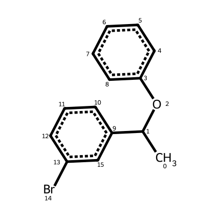 CC(Oc1ccccc1)c1cccc(Br)c1